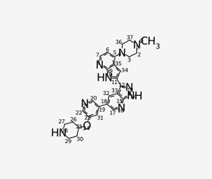 CN1CCN(c2ccnc3[nH]c(-c4n[nH]c5ncc(-c6cncc(OC7CCNCC7)c6)cc45)cc23)CC1